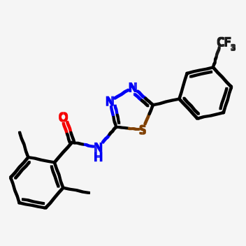 Cc1cccc(C)c1C(=O)Nc1nnc(-c2cccc(C(F)(F)F)c2)s1